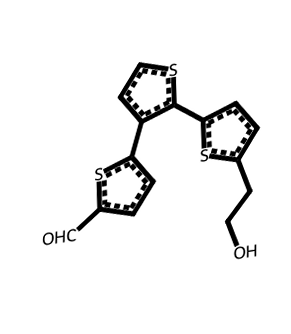 O=Cc1ccc(-c2ccsc2-c2ccc(CCO)s2)s1